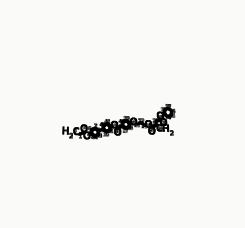 C=CC(=O)Oc1ccc(-c2ccc(OC(=O)c3ccc(OCCCOC(=O)C(=C)CC(=O)OC4CCCCC4)cc3)cc2)cc1